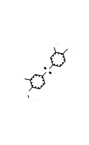 Cc1cc(S(=O)(=O)c2ccc(C(C)C)c(C)c2)ccc1SC(C)(C)C